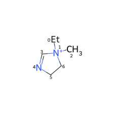 CC[N+]1(C)C=NCC1